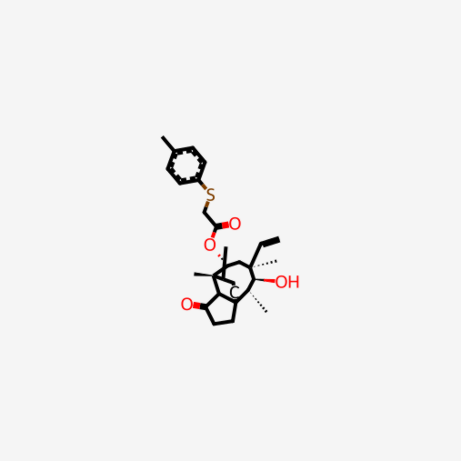 C=C[C@]1(C)C[C@@H](OC(=O)CSc2ccc(C)cc2)[C@]2(C)C(C)CCC3(CCC(=O)C32)[C@@H](C)[C@@H]1O